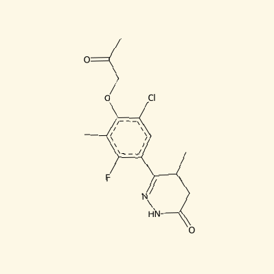 CC(=O)COc1c(Cl)cc(C2=NNC(=O)CC2C)c(F)c1C